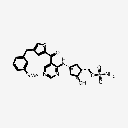 CSc1cccc(Cc2csc(C(=O)c3cncnc3N[C@@H]3C[C@H](COS(N)(=O)=O)[C@@H](O)C3)c2)c1